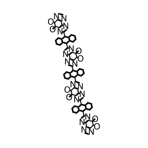 O=C1C(=O)c2nc(-c3c4ccccc4c(-c4cnc5c(n4)C(=O)C(=O)c4nc(-c6c7ccccc7c(-c7cnc8c(n7)C(=O)C(=O)c7nc(-c9c%10ccccc%10c(-c%10cnc%11c(n%10)C(=O)C(=O)c%10nccnc%10-%11)c%10ccccc9%10)cnc7-8)c7ccccc67)cnc4-5)c4ccccc34)cnc2-c2nccnc21